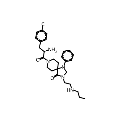 CCCNCCN1CN(c2ccccc2)C2(CCN(C(=O)[C@H](N)Cc3ccc(Cl)cc3)CC2)C1=O